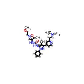 COCCN1C[C@@H](NC(=O)Nc2c(C)c(-c3ccnc(CCN(C)C)c3)nn2-c2ccccc2)[C@H](C)O1